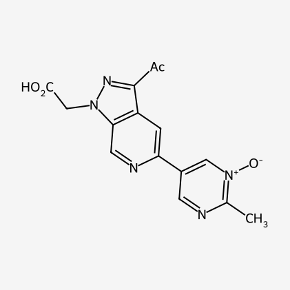 CC(=O)c1nn(CC(=O)O)c2cnc(-c3cnc(C)[n+]([O-])c3)cc12